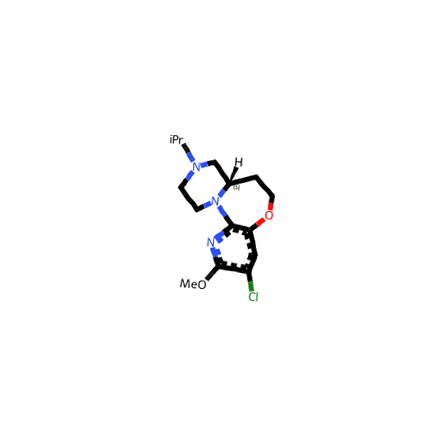 COc1nc2c(cc1Cl)OCC[C@H]1CN(C(C)C)CCN21